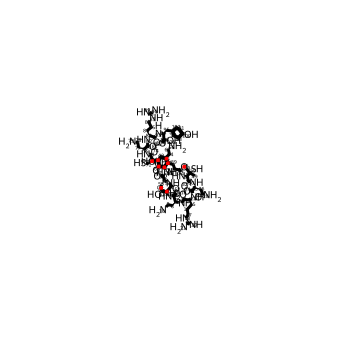 C[C@@H](O)[C@H](NC(=O)[C@H](CCN)NC(=O)[C@H](CCCNC(=N)N)NC(=O)[C@H](CC(N)=O)NC(=O)[C@@H](NC(=O)[C@@H](N)Cc1ccc(O)cc1)C(C)(C)S)C(=O)N[C@H](CCN)C(=O)N[C@@H](CCCCN)C(=O)N[C@@H](CS)C(=O)N[C@@H](CCN)C(=O)N[C@@H](CCCNC(=N)N)C(=O)N[C@@H](Cc1ccc(O)cc1)C(=O)O